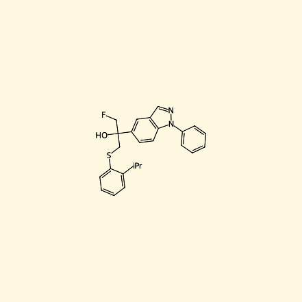 CC(C)c1ccccc1SCC(O)(CF)c1ccc2c(cnn2-c2ccccc2)c1